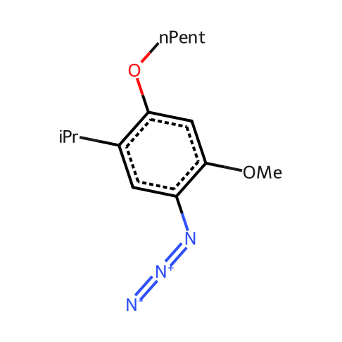 CCCCCOc1cc(OC)c(N=[N+]=[N-])cc1C(C)C